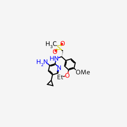 CCOc1cc([C@@H](CS(C)(=O)=O)Nc2ncc(C3CC3)cc2N)ccc1OC